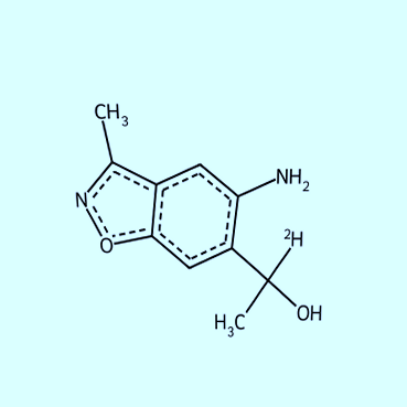 [2H]C(C)(O)c1cc2onc(C)c2cc1N